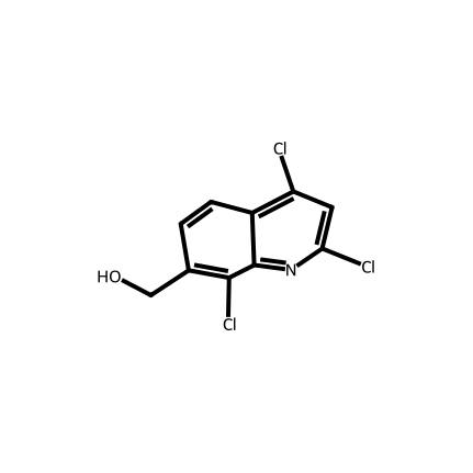 OCc1ccc2c(Cl)cc(Cl)nc2c1Cl